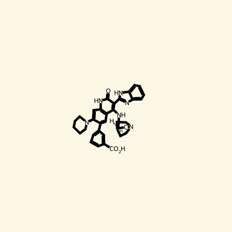 O=C(O)c1cccc(-c2cc3c(N[C@H]4CN5CCC4CC5)c(-c4nc5ccccc5[nH]4)c(=O)[nH]c3cc2N2CCCCC2)c1